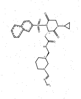 NN=CN1CCC[C@@H](CNC(=O)C[C@H]2C(=O)N(C3CC3)CC(=O)N2S(=O)(=O)c2ccc3ccccc3c2)C1